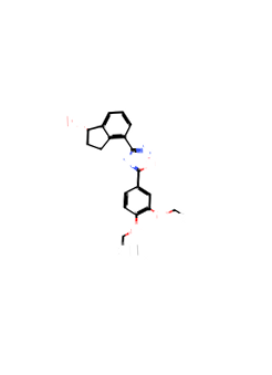 CCOc1ccc(-c2nc(-c3cccc4c3CC[C@H]4O)no2)cc1OCC